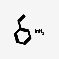 C=Cc1ccccc1.[InH3]